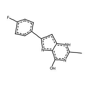 Cc1nc(O)c2nc(-c3ccc(F)cc3)cc-2[nH]1